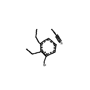 CC#N.CCc1cccc(Br)c1CC